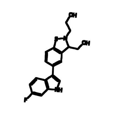 OCCN1Sc2ccc(-c3c[nH]c4cc(F)ccc34)cc2C1CO